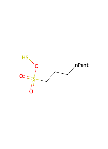 CCCCCCCCS(=O)(=O)OS